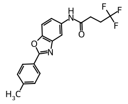 Cc1ccc(-c2nc3cc(NC(=O)CCC(F)(F)F)ccc3o2)cc1